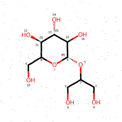 OCC(CO)O[C@@H]1OC(CO)[C@@H](O)[C@H](O)C1O